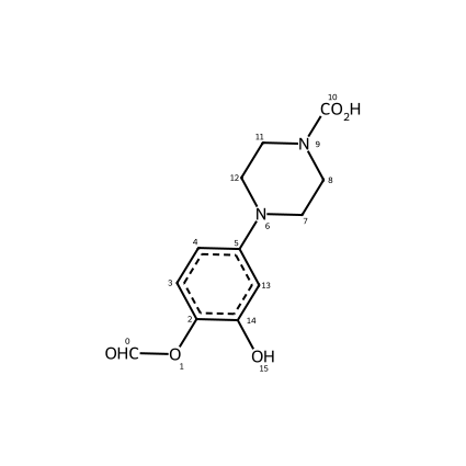 O=COc1ccc(N2CCN(C(=O)O)CC2)cc1O